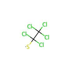 [S]C(Cl)(Cl)C(Cl)(Cl)Cl